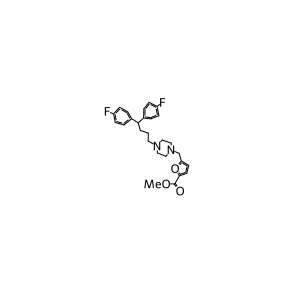 COC(=O)c1ccc(CN2CCN(CCCC(c3ccc(F)cc3)c3ccc(F)cc3)CC2)o1